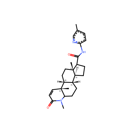 Cc1ccc(NC(=O)C2CC[C@H]3[C@@H]4CCC5N(C)C(=O)C=C[C@]5(C)[C@@H]4CC[C@]23C)nc1